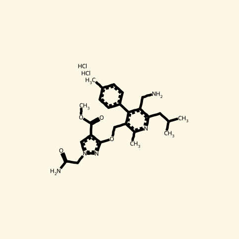 COC(=O)c1cn(CC(N)=O)nc1OCc1c(C)nc(CC(C)C)c(CN)c1-c1ccc(C)cc1.Cl.Cl